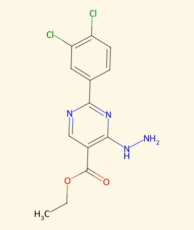 CCOC(=O)c1cnc(-c2ccc(Cl)c(Cl)c2)nc1NN